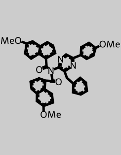 COc1ccc(-c2cnc(N(C(=O)c3cccc4cc(OC)ccc34)C(=O)c3cccc4cc(OC)ccc34)c(Cc3ccccc3)n2)cc1